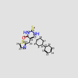 O=c1[nH]c(=S)[nH]c([C@H]2CC[C@H](C3C=CC=CC3)CC2)c1Cc1nccs1